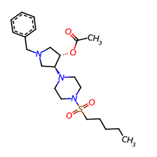 CCCCCS(=O)(=O)N1CCN([C@H]2CN(Cc3ccccc3)C[C@@H]2OC(C)=O)CC1